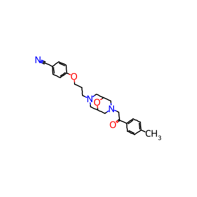 Cc1ccc(C(=O)CN2CC3CN(CCCOc4ccc(C#N)cc4)CC(C2)O3)cc1